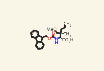 C=CC[C@](C)(COC)[C@H](NC(=O)OCC1c2ccccc2-c2ccccc21)C(=O)O